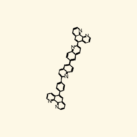 c1cnc2c(c1)cc(-c1ccc(-c3ccc4cc(-c5ccc6nc(-c7cc8cccnc8c8ncccc78)ccc6c5)ccc4n3)cc1)c1cccnc12